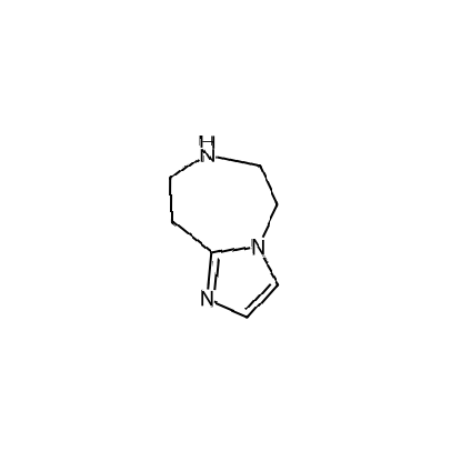 c1cn2c(n1)CCNCC2